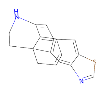 C1=CCC23CCNC(=Cc4cc5scnc5cc42)C3=C1